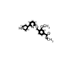 COC(=O)c1ccc(COc2cccc(C3CCNCC3)n2)c(OC)c1